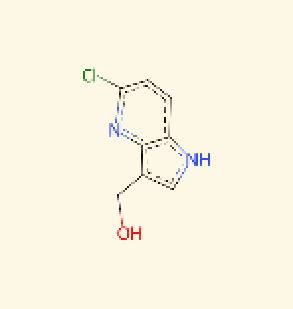 OCc1c[nH]c2ccc(Cl)nc12